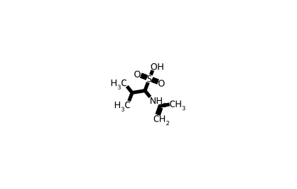 C=CC.CC(C)C(N)S(=O)(=O)O